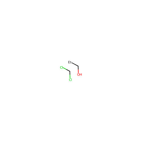 CCCO.ClCCl